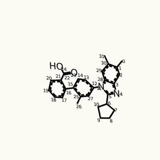 Cc1cc2nc(C3CCCC3)n(-c3ccc(-c4ccccc4C(=O)O)c(C)c3)c2cc1C